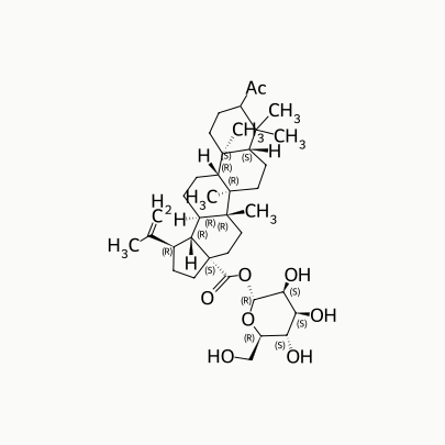 C=C(C)[C@@H]1CC[C@]2(C(=O)O[C@H]3O[C@H](CO)[C@@H](O)[C@H](O)[C@@H]3O)CC[C@]3(C)[C@H](CC[C@@H]4[C@@]5(C)CCC(C(C)=O)C(C)(C)[C@@H]5CC[C@]43C)[C@@H]12